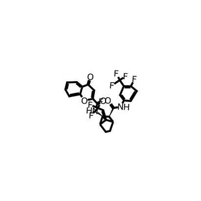 O=C(N[C@@H]1C2CCC(/C2=C/C(F)(F)F)[C@@H]1C(=O)Nc1ccc(F)c(C(F)(F)F)c1)c1cc(=O)c2ccccc2o1